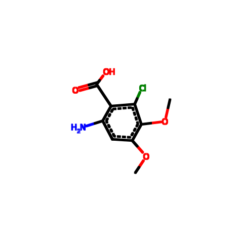 COc1cc(N)c(C(=O)O)c(Cl)c1OC